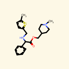 Cc1ccc(CNC(C(=O)OCC2CCN(C)CC2)c2ccccc2)s1